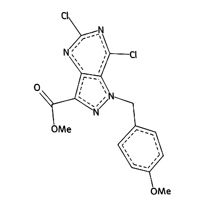 COC(=O)c1nn(Cc2ccc(OC)cc2)c2c(Cl)nc(Cl)nc12